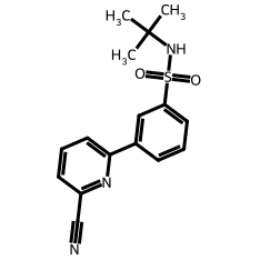 CC(C)(C)NS(=O)(=O)c1cccc(-c2cccc(C#N)n2)c1